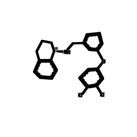 Clc1ccc(Oc2cccc(CN[C@H]3CCCc4ccccc43)c2)cc1Cl